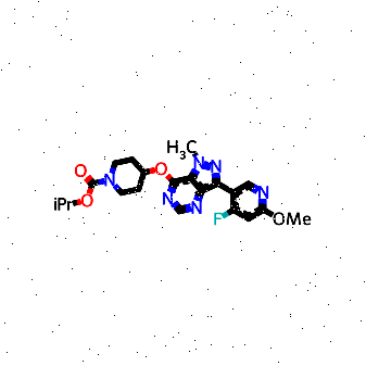 COc1cc(F)c(-c2nn(C)c3c(OC4CCN(C(=O)OC(C)C)CC4)ncnc23)cn1